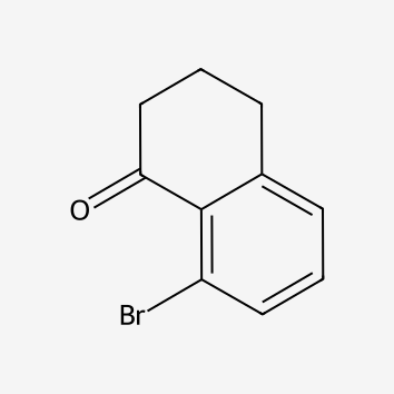 O=C1CCCc2cccc(Br)c21